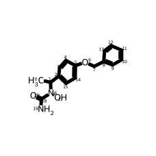 CC(c1ccc(OCc2ccccc2)cc1)N(O)C(N)=O